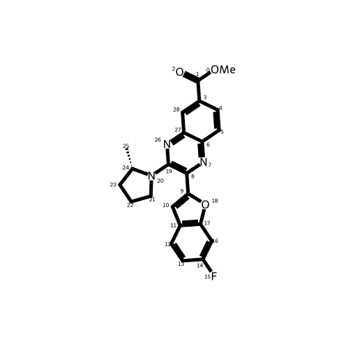 COC(=O)c1ccc2nc(-c3cc4ccc(F)cc4o3)c(N3CCC[C@@H]3C)nc2c1